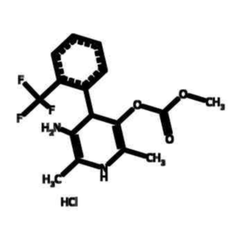 COC(=O)OC1=C(C)NC(C)=C(N)C1c1ccccc1C(F)(F)F.Cl